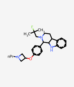 CCCN1CC(Oc2ccc(C3C4Nc5ccccc5C4CCN3CC(C)(C)F)cc2)C1